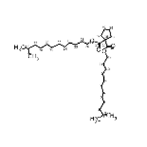 CC(C)CCCCCCCCCCOC(=O)C1(C(=O)OCCCCCCCCCCC(C)C)CCCC1